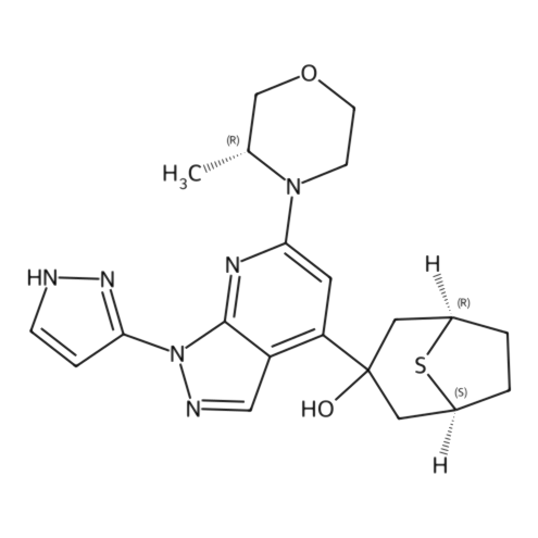 C[C@@H]1COCCN1c1cc(C2(O)C[C@H]3CC[C@@H](C2)S3)c2cnn(-c3cc[nH]n3)c2n1